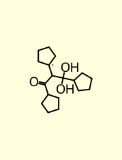 O=C(C1CCCC1)C([C]1CCCC1)C(O)(O)C1CCCC1